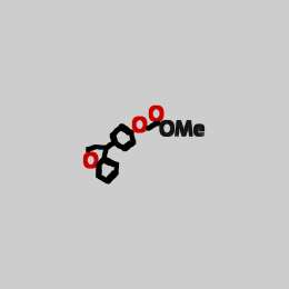 COC(=O)COc1ccc(C2CCOc3ccccc32)cc1